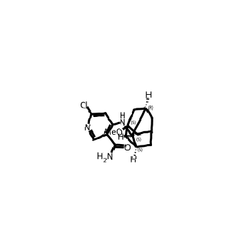 CO[C@]12CC3C[C@H](C1)[C@@H](Nc1cc(Cl)ncc1C(N)=O)[C@@H](C3)C2